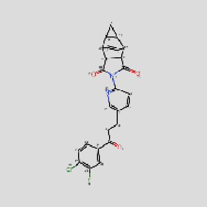 O=C(CCc1ccc(N2C(=O)C3C4C=CC(C5CC45)C3C2=O)nc1)c1ccc(Cl)c(Cl)c1